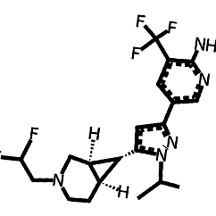 CC(C)n1nc(-c2cnc(N)c(C(F)(F)F)c2)cc1[C@H]1[C@@H]2CN(CC(F)F)CC[C@@H]21